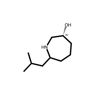 CC(C)CC1CCC[C@@H](O)CN1